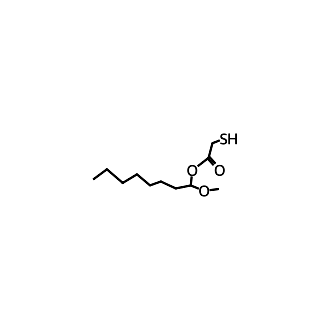 CCCCCCCC(OC)OC(=O)CS